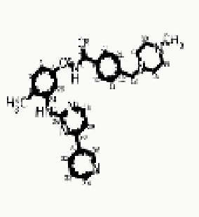 Cc1ccc(ONC(=O)c2ccc(CN3CCN(C)CC3)cc2)cc1Nc1nccc(-c2cccnc2)n1